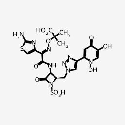 CC(C)(ON=C(C(=O)N[C@@H]1C(=O)N(S(=O)(=O)O)[C@@H]1Cn1cc(-c2cc(=O)c(O)cn2O)nn1)c1csc(N)n1)C(=O)O